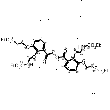 CCOC(=O)NCOc1cccc(C(=O)OOC(=O)c2cccc(OCNC(=O)OCC)c2OCNC(=O)OCC)c1OCNC(=O)OCC